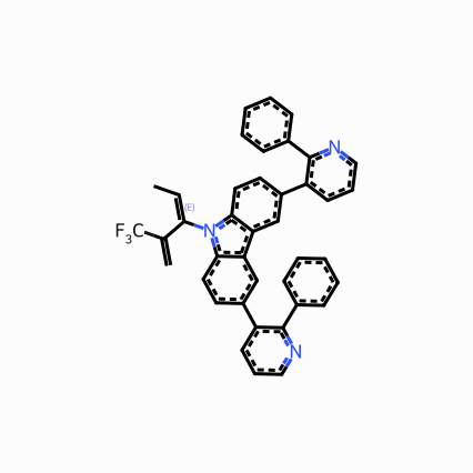 C=C(/C(=C\C)n1c2ccc(-c3cccnc3-c3ccccc3)cc2c2cc(-c3cccnc3-c3ccccc3)ccc21)C(F)(F)F